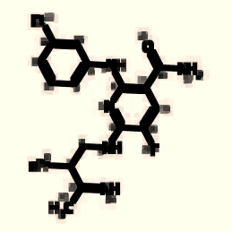 CCCC(CNc1nc(Nc2cccc(CC)c2)c(C(N)=O)cc1F)C(C)=N